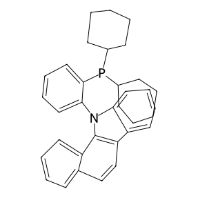 c1ccc(P(C2CCCCC2)C2CCCCC2)c(-n2c3ccccc3c3ccc4ccccc4c32)c1